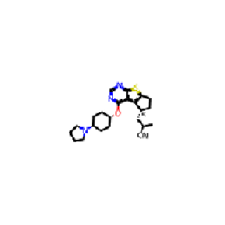 CC(C#N)C[C@H]1CCc2sc3ncnc(O[C@H]4CC[C@H](N5CCCC5)CC4)c3c21